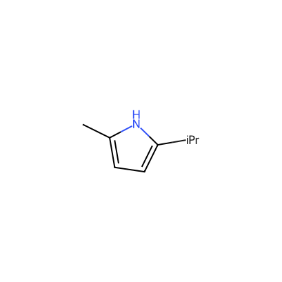 Cc1ccc(C(C)C)[nH]1